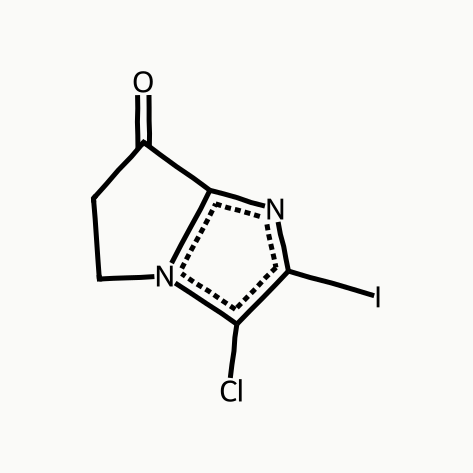 O=C1CCn2c1nc(I)c2Cl